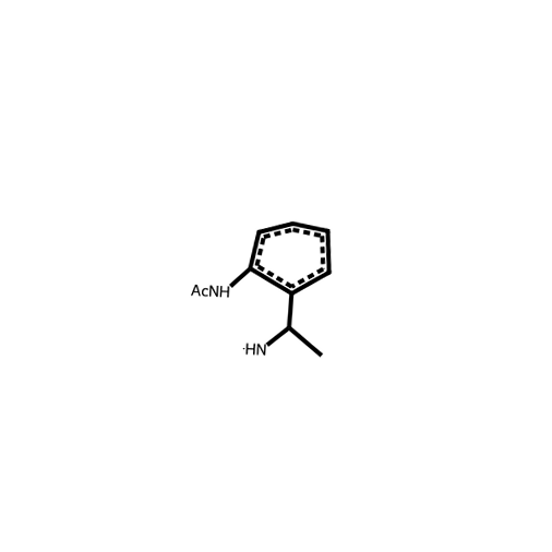 CC(=O)Nc1ccccc1C(C)[NH]